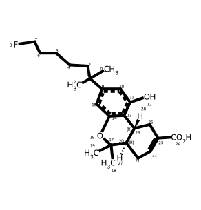 CC(C)(CCCCCF)c1cc(O)c2c(c1)OC(C)(C)[C@@H]1CC=C(C(=O)O)C[C@@H]21